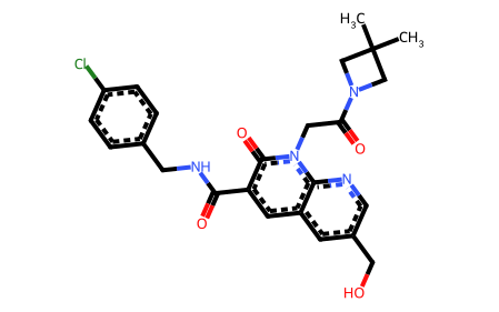 CC1(C)CN(C(=O)Cn2c(=O)c(C(=O)NCc3ccc(Cl)cc3)cc3cc(CO)cnc32)C1